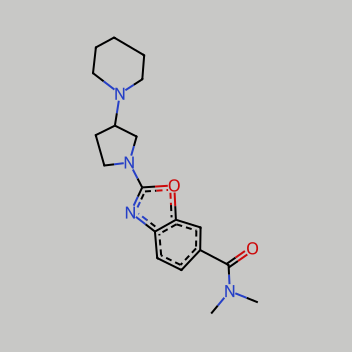 CN(C)C(=O)c1ccc2nc(N3CCC(N4CCCCC4)C3)oc2c1